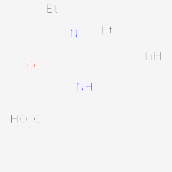 CCN(CC)C(=O)NC(CC1(C)CCCC1)C(=O)O.[LiH]